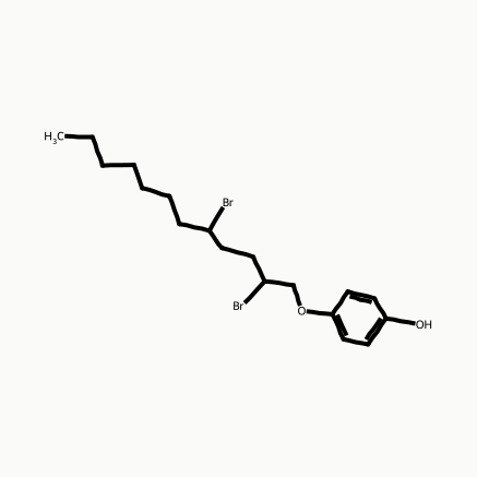 CCCCCCCC(Br)CCC(Br)COc1ccc(O)cc1